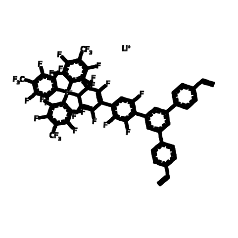 C=Cc1ccc(-c2cc(-c3ccc(C=C)cc3)cc(-c3c(F)cc(C4=C(F)C(F)(F)C([B-](c5c(F)c(F)c(C(F)(F)F)c(F)c5F)(c5c(F)c(F)c(C(F)(F)F)c(F)c5F)c5c(F)c(F)c(C(F)(F)F)c(F)c5F)C(F)=C4F)c(F)c3F)c2)cc1.[Li+]